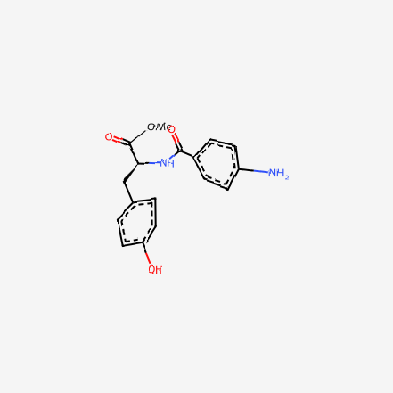 COC(=O)[C@H](Cc1ccc(O)cc1)NC(=O)c1ccc(N)cc1